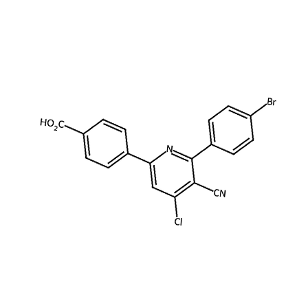 N#Cc1c(Cl)cc(-c2ccc(C(=O)O)cc2)nc1-c1ccc(Br)cc1